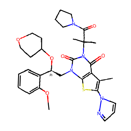 COc1ccccc1[C@H](Cn1c(=O)n(C(C)(C)C(=O)N2CCCC2)c(=O)c2c(C)c(-n3cccn3)sc21)OC1CCOCC1